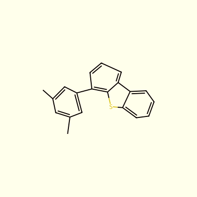 Cc1cc(C)cc(-c2cccc3c2sc2ccccc23)c1